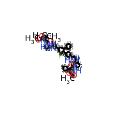 COC(=O)N[C@H](C(=O)N1CCC[C@H]1c1ncc(-c2cc(F)c(-c3ccc(-c4cnc([C@@H]5CCCN5C(=O)[C@H](NC(=O)OC)c5ccccc5)[nH]4)cc3)c(-c3ccccc3)c2)[nH]1)C(C)C